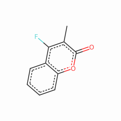 Cc1c(F)c2ccccc2oc1=O